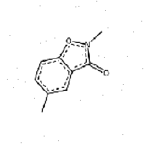 Cc1ccc2on(C)c(=O)c2c1